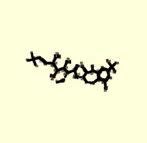 CO[C@@H](C(=O)N[C@H]1CSc2c(Cl)cc(C(F)(F)F)cc2NC1=O)[C@H](O)[C@@H](O)[C@H](O)/C=C/C(C)(C)C